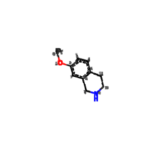 CC(C)Oc1ccc2c(c1)CNCC2